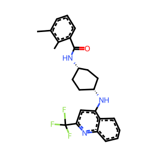 Cc1cccc(C(=O)N[C@H]2CC[C@@H](Nc3cc(C(F)(F)F)nc4ccccc34)CC2)c1C